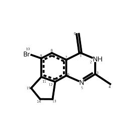 C=C1NC(C)=Nc2c1cc(Br)c1c2CCC1